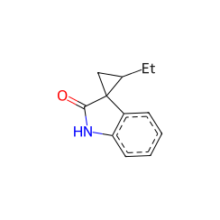 CCC1CC12C(=O)Nc1ccccc12